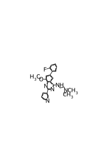 COc1cc(-c2ccccc2F)cc2c(NCCN(C)C)nc(-c3cccnc3)nc12